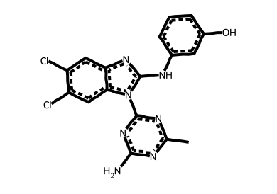 Cc1nc(N)nc(-n2c(Nc3cccc(O)c3)nc3cc(Cl)c(Cl)cc32)n1